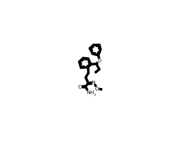 CCC(Oc1ccccc1)c1ccccc1CCC(=NOC)C(N)=O